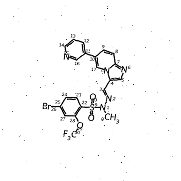 CN(/N=C/c1cnc2ccc(-c3cccnc3)cn12)S(=O)(=O)c1ccc(Br)cc1OC(F)(F)F